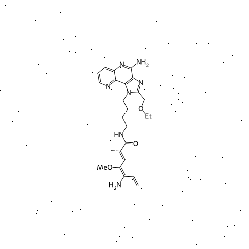 C=C/C(N)=C(\C=C(/C)C(=O)NCCCCn1c(COCC)nc2c(N)nc3cccnc3c21)OC